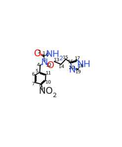 NC(=O)N(Cc1ccc([N+](=O)[O-])cc1)OCCCc1c[nH]cn1